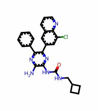 Nc1nc(-c2ccccc2)c(-c2cc(Cl)c3ncccc3c2)nc1NC(=O)NCC1CCC1